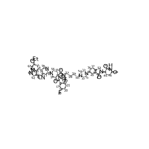 CCOc1cc(-c2ccc(N3CCC(NC(=O)c4cc(F)ccc4F)(C(=O)NCCCCN4CCN(c5ccc6c(c5)C(=O)N(C5CCC(=O)NC5=O)C6)CC4)CC3)nc2)c2c(C#N)cnn2c1